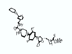 COC(=S)NC[C@H]1CN(c2cc(F)c(N3CCNN(C(=O)NCc4ccnc(N5CCCC5)c4)CC3)c(F)c2)C(=O)O1